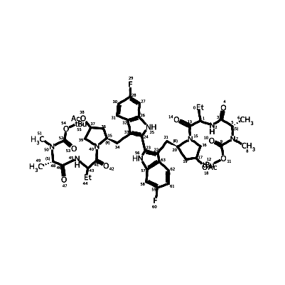 CCC(NC(=O)[C@H](C)N(C)C(=O)OC(C)(C)C)C(=O)N1CC(OC(C)=O)C[C@H]1Cc1c(-c2[nH]c3cc(F)ccc3c2C[C@@H]2CC(OC(C)=O)CN2C(=O)C(CC)NC(=O)[C@H](C)N(C)C(=O)OC(C)(C)C)[nH]c2cc(F)ccc12